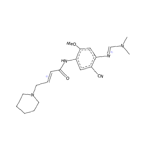 COc1cc(/N=C/N(C)C)c(C#N)cc1NC(=O)/C=C/CN1CCCCC1